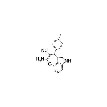 Cc1ccc(C2C(C#N)=C(N)Oc3cccc4[nH]cc2c34)cc1